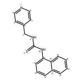 S=C(NCc1ccncc1)Nc1cccc2ccccc12